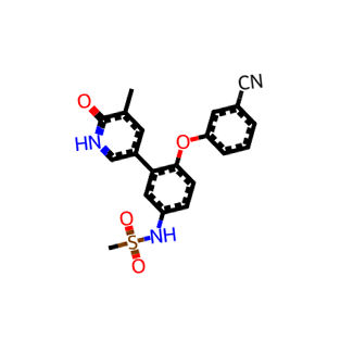 Cc1cc(-c2cc(NS(C)(=O)=O)ccc2Oc2cccc(C#N)c2)c[nH]c1=O